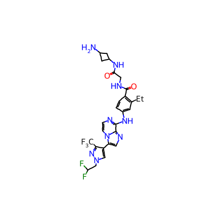 CCc1cc(Nc2nccn3c(-c4cn(CC(F)F)nc4C(F)(F)F)cnc23)ccc1C(=O)NCC(=O)NC1CC(N)C1